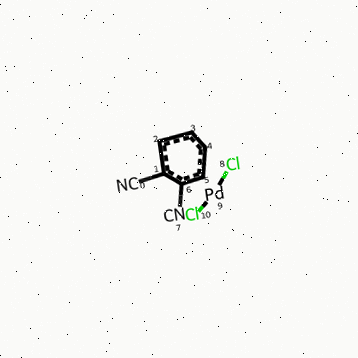 N#Cc1ccccc1C#N.[Cl][Pd][Cl]